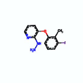 Cc1c(I)cccc1Oc1cccnc1NN